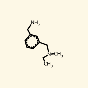 CCN(C)Cc1cccc(CN)c1